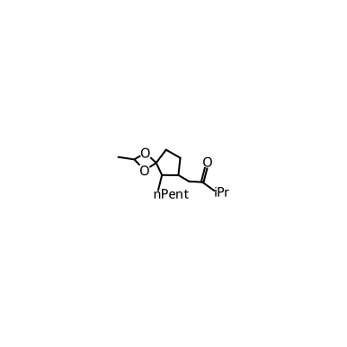 CCCCCC1C(CC(=O)C(C)C)CCC12OC(C)O2